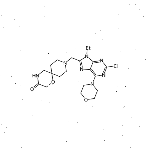 CCn1c(CN2CCC3(CC2)CNC(=O)CO3)nc2c(N3CCOCC3)nc(Cl)nc21